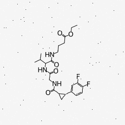 CCOC(=O)CCCNC(=O)C(NC(=O)CNC(=O)C1CC1c1ccc(F)c(F)c1)C(C)C